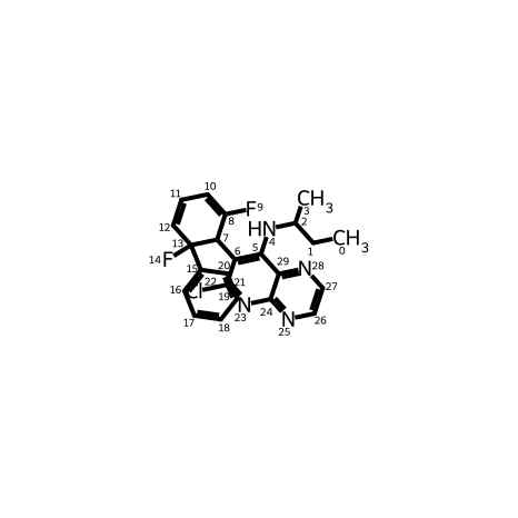 CCC(C)Nc1c(C2C(F)=CC=CC2(F)c2ccccc2)c(Cl)nc2nccnc12